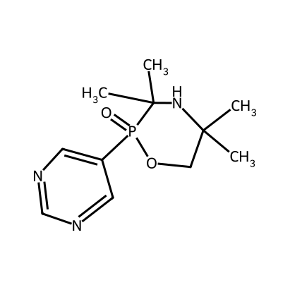 CC1(C)COP(=O)(c2cncnc2)C(C)(C)N1